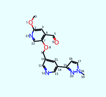 COc1cc(C=O)c(OCc2cncc(-c3ccn(C)n3)c2)cn1